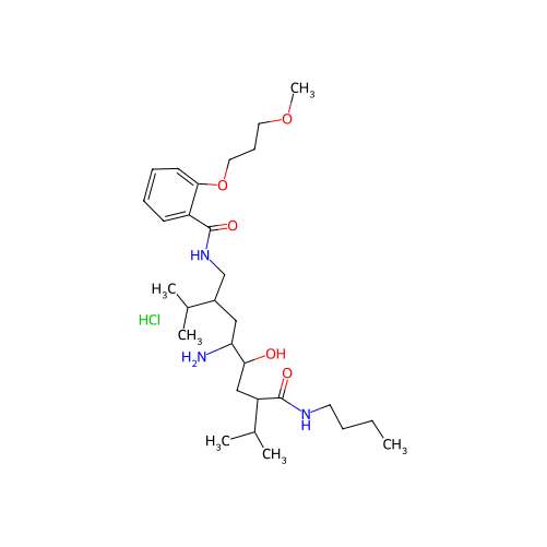 CCCCNC(=O)C(CC(O)C(N)CC(CNC(=O)c1ccccc1OCCCOC)C(C)C)C(C)C.Cl